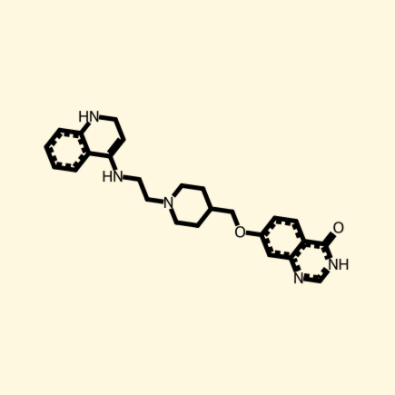 O=c1[nH]cnc2cc(OCC3CCN(CCNC4=CCNc5ccccc54)CC3)ccc12